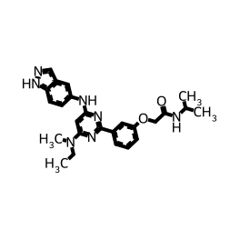 CCN(C)c1cc(Nc2ccc3[nH]ncc3c2)nc(-c2cccc(OCC(=O)NC(C)C)c2)n1